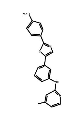 COc1ccc(-c2ncc(-c3cccc(Nc4cc(C)ccn4)c3)s2)cc1